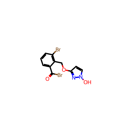 O=C(Br)c1cccc(Br)c1COc1ccn(O)n1